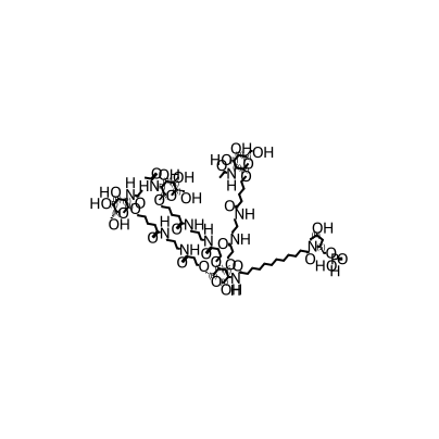 CC(=O)N[C@H]1[C@H](OCCCCC(=O)NCCCNC(=O)CCOC[C@H]2O[C@@H](O)C(NC(=O)CCCCCCCCCCC(=O)N3C[C@H](O)C[C@H]3CO[PH](=O)O)[C@@H](OCCC(=O)NCCCNC(=O)CCCCO[C@@H]3O[C@H](CO)[C@H](O)[C@H](O)[C@H]3NC(C)=O)[C@@H]2OCCC(=O)NCCCNC(=O)CCCCO[C@@H]2O[C@H](CO)[C@H](O)[C@H](O)[C@H]2NC(C)=O)O[C@H](CO)[C@H](O)[C@@H]1O